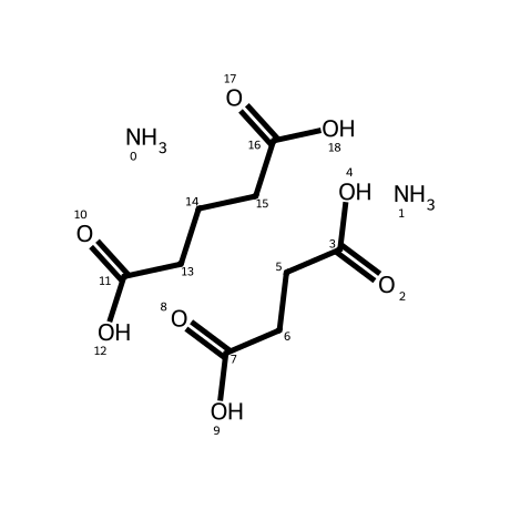 N.N.O=C(O)CCC(=O)O.O=C(O)CCCC(=O)O